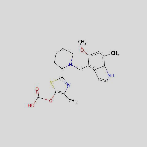 COc1cc(C)c2[nH]ccc2c1CN1CCCCC1c1nc(C)c(OC(=O)O)s1